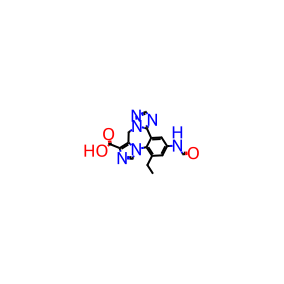 CCc1cc(NC=O)cc2c1-n1cnc(C(=O)O)c1Cn1ncnc1-2